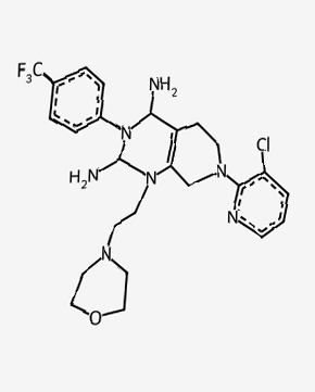 NC1C2=C(CN(c3ncccc3Cl)CC2)N(CCN2CCOCC2)C(N)N1c1ccc(C(F)(F)F)cc1